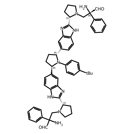 CC(C)(C)c1ccc(N2[C@@H](c3ccc4[nH]c([C@@H]5CCCN5CC(N)(C=O)c5ccccc5)nc4c3)CC[C@@H]2c2ccc3[nH]c([C@@H]4CCCN4C[C@@](N)(C=O)c4ccccc4)nc3c2)cc1